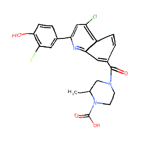 CC1CN(C(=O)c2ccc3c(Cl)cc(-c4ccc(O)c(F)c4)nc3c2)CCN1C(=O)O